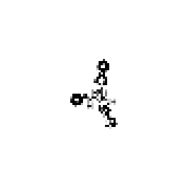 c1ccc(CNc2nc(Nc3cc(-c4ccco4)[nH]n3)nc(N3CCN(c4ccccc4)CC3)n2)cc1